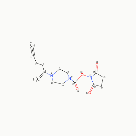 C#CCCC(=C)N1CCN(C(=O)ON2C(=O)CCC2=O)CC1